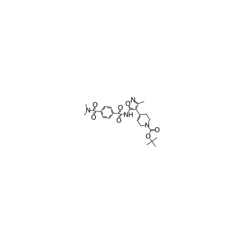 Cc1noc(NS(=O)(=O)c2ccc(S(=O)(=O)N(C)C)cc2)c1C1=CCN(C(=O)OC(C)(C)C)CC1